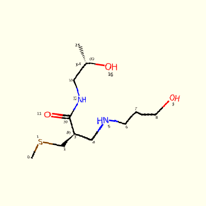 CSC[C@H](CNCCCO)C(=O)NC[C@H](C)O